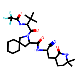 CC1(C)CCC(CC(C#N)NC(=O)C2CC3(CCCCC3)CN2C(=O)C(NC(=O)C(F)(F)F)C(C)(C)C)C(=O)N1